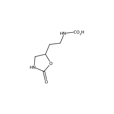 O=C(O)NCCC1CNC(=O)O1